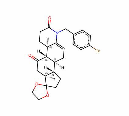 C[C@]12CCC(=O)N(Cc3ccc(Br)cc3)C1=CC[C@@H]1[C@@H]2C(=O)C[C@@]2(C)[C@H]1CCC21OCCO1